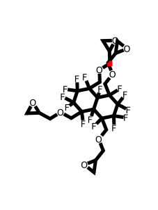 FC1(F)C(F)(F)C(F)(COCC2CO2)C2(F)C(F)(COCC3CO3)C(F)(F)C(F)(F)C(F)(COCC3CO3)C2(F)C1(F)COCC1CO1